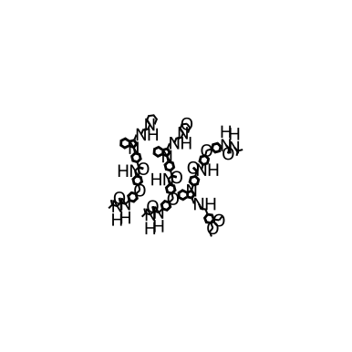 CC(C)NC(=O)Nc1ccc(Oc2ccc(NC(=O)c3ccc(-n4cc(CNCCN5CCCCC5)c5ccccc54)cc3)cc2)cc1.CC(C)NC(=O)Nc1ccc(Oc2ccc(NC(=O)c3ccc(-n4cc(CNCCN5CCOCC5)c5ccccc54)cc3)cc2)cc1.CCOc1ccc(CCNCc2cn(-c3ccc(C(=O)Nc4ccc(Oc5ccc(NC(=O)NC(C)C)cc5)cc4)cc3)c3ccccc23)cc1OC